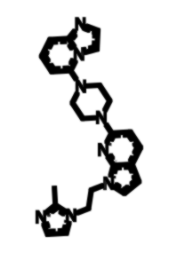 Cc1nccn1CCn1ccc2ccc(N3CCN(c4cccc5nccn45)CC3)nc21